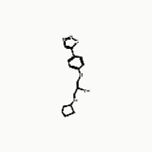 OC(CNC1CCCC1)COc1ccc(-c2cnns2)cc1